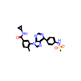 Cc1ccc(C(=O)NC2CC2)cc1-n1cnc2c(-c3ccc(NS(C)(=O)=O)cc3)ncnc21